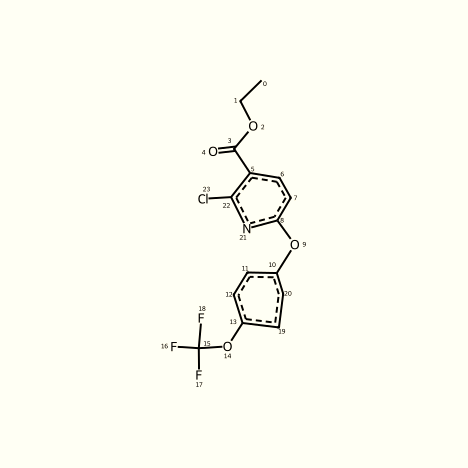 CCOC(=O)c1ccc(Oc2ccc(OC(F)(F)F)cc2)nc1Cl